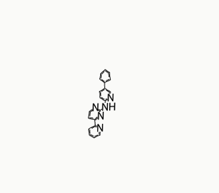 c1ccc(-c2ccc(Nc3nccc(-c4ccccn4)n3)nc2)cc1